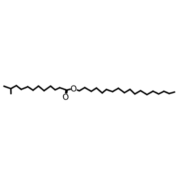 CCCCCCCCCCCCCCCCCCOC(=O)CCCCCCCCCC(C)C